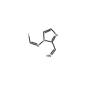 N=Cc1nccn1/N=C\I